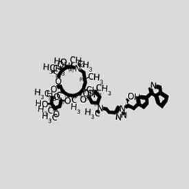 CC[C@H]1OC(=O)[C@H](C)[C@@H](O[C@H]2C[C@@](C)(OC)[C@@H](O)[C@H](C)O2)[C@H](C)[C@@H](O[C@H]2C[C@@H](N(C)CCc3cn([C@H](CO)Cc4ccc(-c5cncc6ccccc56)cc4)nn3)C[C@@H](C)O2)[C@](C)(O)C[C@@H](C)CN(C)[C@H](C)[C@@H](O)[C@]1(C)O